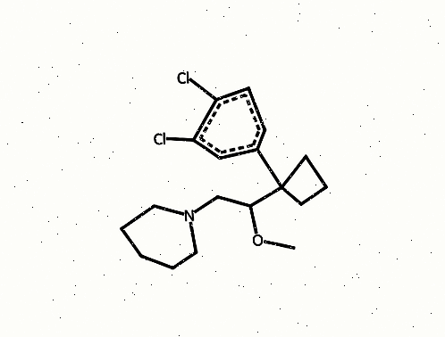 COC(CN1CCCCC1)C1(c2ccc(Cl)c(Cl)c2)CCC1